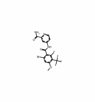 COc1cc(Br)c(C(=O)Nc2ccnc(C(N)=O)c2)c(F)c1C(F)(F)F